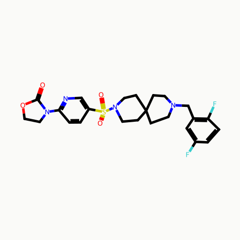 O=C1OCCN1c1ccc(S(=O)(=O)N2CCC3(CCN(Cc4cc(F)ccc4F)CC3)CC2)cn1